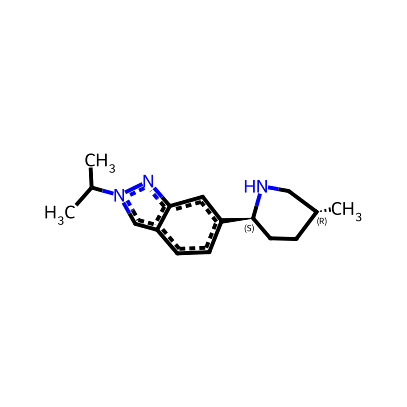 CC(C)n1cc2ccc([C@@H]3CC[C@@H](C)CN3)cc2n1